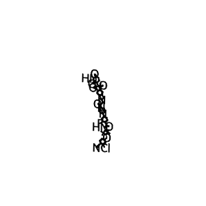 CC1(C)[C@H](NC(=O)c2ccc(N3CCN(C(=O)CN4Cc5cc6c(cc5C4)C(=O)N(C4CCC(=O)NC4=O)C6=O)CC3)cc2F)C(C)(C)[C@H]1Oc1ccc(C#N)c(Cl)c1